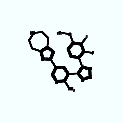 CCCOc1ccc(-n2nnnc2-c2cc(-c3cc4c(s3)CCNCC4)cnc2N)c(F)c1F